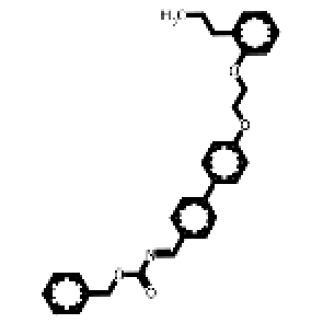 CCCc1ccccc1OCCOc1ccc(-c2ccc([C]=NC(=O)OCc3ccccc3)cc2)cc1